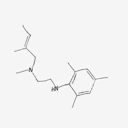 C/C=C(\C)CN(C)CCNc1c(C)cc(C)cc1C